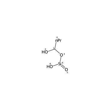 CCCC(O)O[Si](=O)O